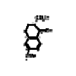 CCOC(=O)[C@H]1CCc2cc(OC)ccc2C1=O